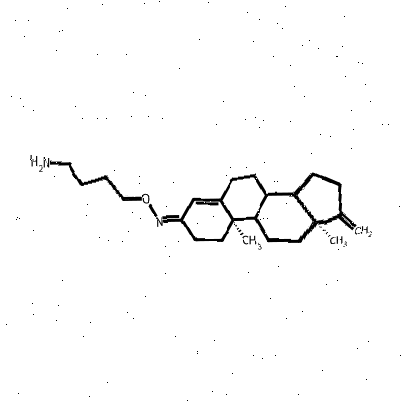 C=C1CCC2C3CCC4=CC(=NOCCCCN)CC[C@]4(C)C3CC[C@]12C